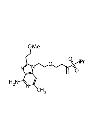 COCCc1nc2c(N)nc(C)cc2n1CCOCCNS(=O)(=O)C(C)C